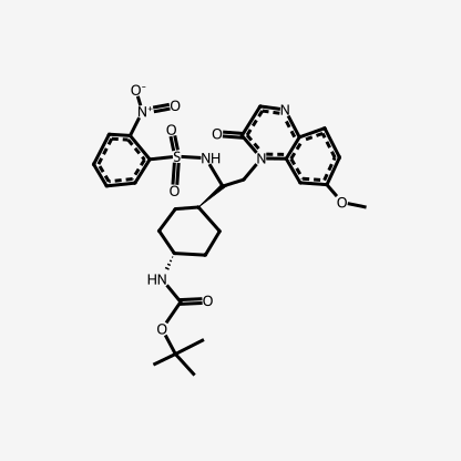 COc1ccc2ncc(=O)n(CC(NS(=O)(=O)c3ccccc3[N+](=O)[O-])[C@H]3CC[C@H](NC(=O)OC(C)(C)C)CC3)c2c1